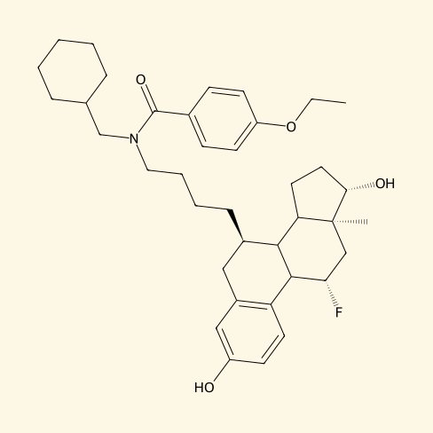 CCOc1ccc(C(=O)N(CCCC[C@@H]2Cc3cc(O)ccc3C3C2C2CC[C@H](O)[C@@]2(C)C[C@@H]3F)CC2CCCCC2)cc1